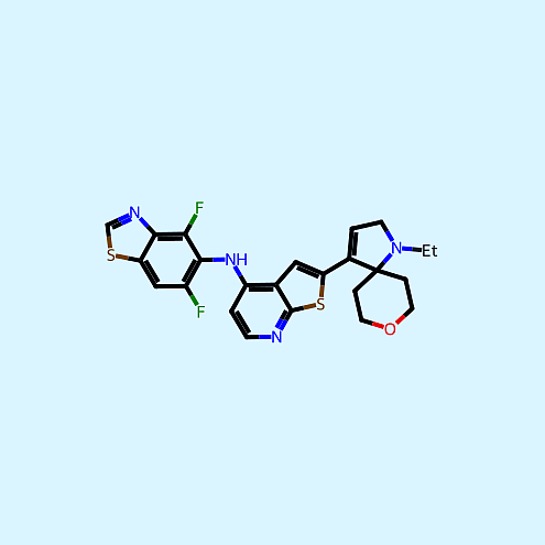 CCN1CC=C(c2cc3c(Nc4c(F)cc5scnc5c4F)ccnc3s2)C12CCOCC2